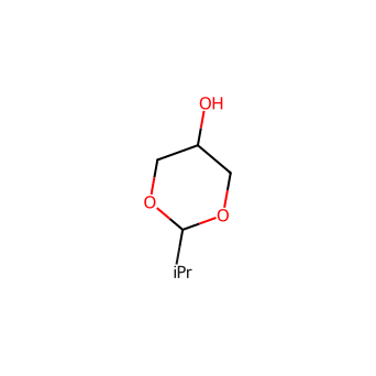 CC(C)C1OCC(O)CO1